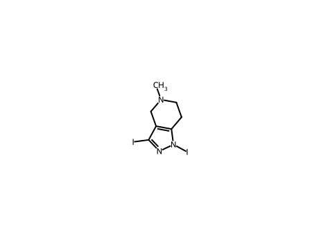 CN1CCc2c(c(I)nn2I)C1